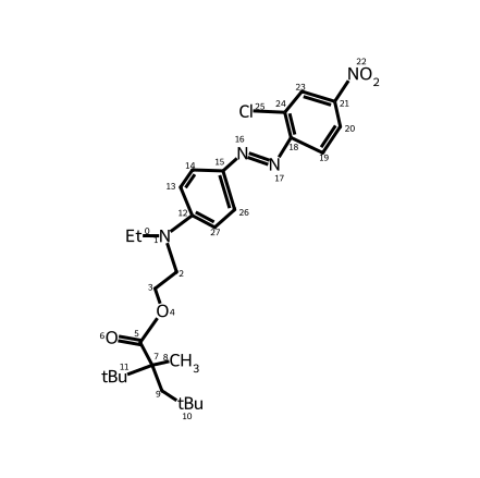 CCN(CCOC(=O)C(C)(CC(C)(C)C)C(C)(C)C)c1ccc(/N=N/c2ccc([N+](=O)[O-])cc2Cl)cc1